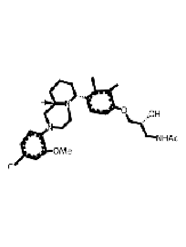 COc1cc(Cl)ccc1N1CCN2[C@@H](CCC[C@@H]2c2ccc(OC[C@H](O)CNC(C)=O)c(C)c2C)C1